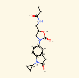 CCC(=O)NCC1CN(c2ccc3c(c2)CC(=O)N3C2CC2)C(=O)O1